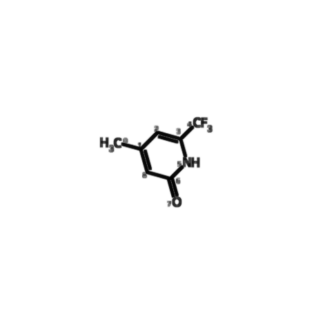 Cc1cc(C(F)(F)F)[nH]c(=O)c1